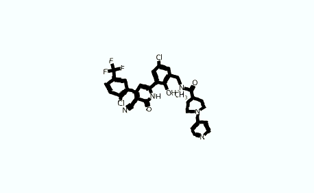 CN(Cc1cc(Cl)cc(-c2cc(-c3cc(C(F)(F)F)ccc3Cl)c(C#N)c(=O)[nH]2)c1O)C(=O)C1CCN(c2ccncc2)CC1